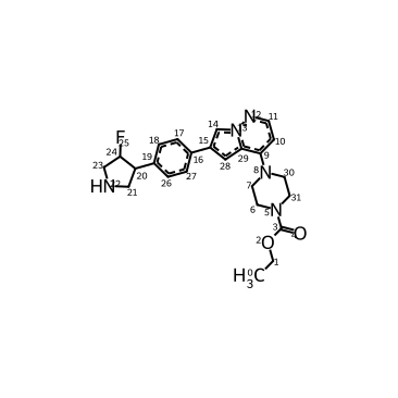 CCOC(=O)N1CCN(c2ccnn3cc(-c4ccc(C5CNCC5F)cc4)cc23)CC1